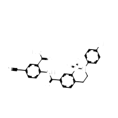 N#Cc1ccc(NC(=O)c2ccc3c(c2)S(=O)(=O)N(c2ccc(Cl)cc2)CC3)c(C(=O)O)c1